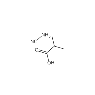 CC(C)C(=O)O.N#CN